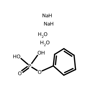 O.O.O=P(O)(O)Oc1ccccc1.[NaH].[NaH]